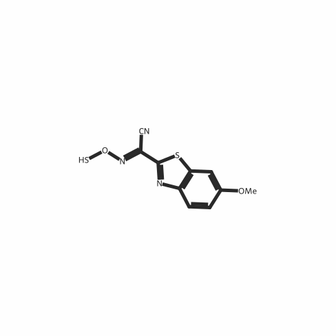 COc1ccc2nc(/C(C#N)=N/OS)sc2c1